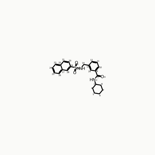 O=C(NC1CCCCC1)c1cccc(CNS(=O)(=O)c2ccc3ccccc3c2)c1